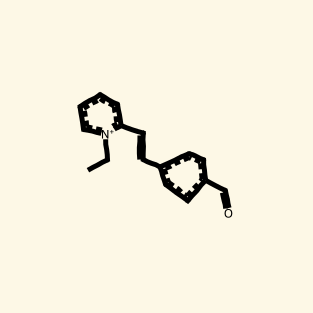 CC[n+]1ccccc1/C=C/c1ccc(C=O)cc1